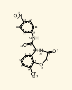 O=C1COc2c(cccc2C(F)(F)F)C(C(=O)Nc2ccc([N+](=O)[O-])cc2)N1